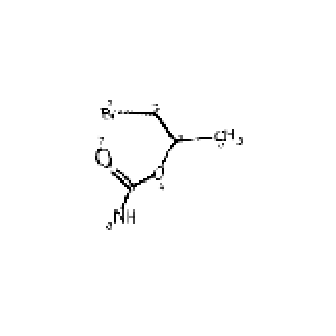 CC(CBr)OC([NH])=O